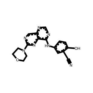 N#Cc1cc(Nc2ncnc3cnc(N4CCOCC4)nc23)ccc1O